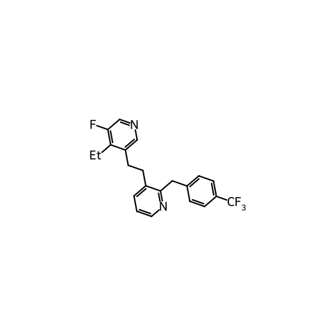 CCc1c(F)cncc1CCc1cccnc1Cc1ccc(C(F)(F)F)cc1